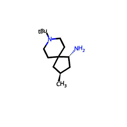 C[C@@H]1C[C@@H](N)C2(CCN(C(C)(C)C)CC2)C1